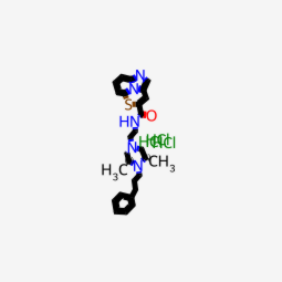 C[C@@H]1CN(CCNC(=O)C2=Cc3cnc4cccc(n34)S2)C[C@H](C)N1CCCc1ccccc1.Cl.Cl.Cl